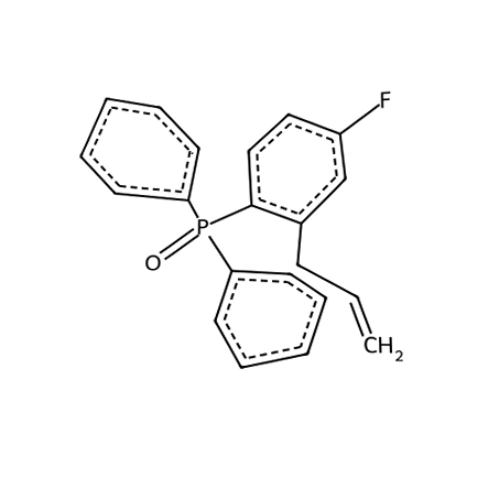 C=CCc1cc(F)ccc1P(=O)(c1ccccc1)c1ccccc1